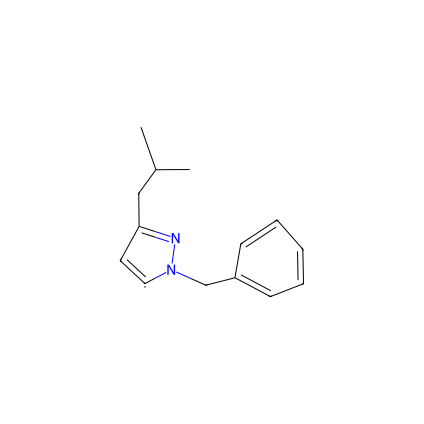 CC(C)Cc1c[c]n(Cc2ccccc2)n1